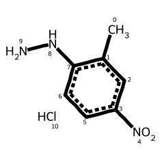 Cc1cc([N+](=O)[O-])ccc1NN.Cl